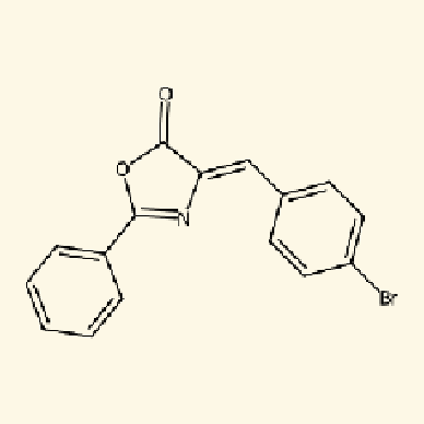 O=C1OC(c2ccccc2)=NC1=Cc1ccc(Br)cc1